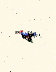 Cc1ccc(CNC(=O)OC(C)(C)C)cc1C(=O)NC(C)c1cc(-c2cccc(Cl)c2)cc(-c2cnn(C)c2)c1